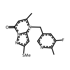 CSc1cc2n(Cc3cnc(C)c(F)c3)c(C)cc(=O)n2n1